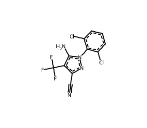 N#Cc1nn(-c2c(Cl)cccc2Cl)c(N)c1C(F)(F)F